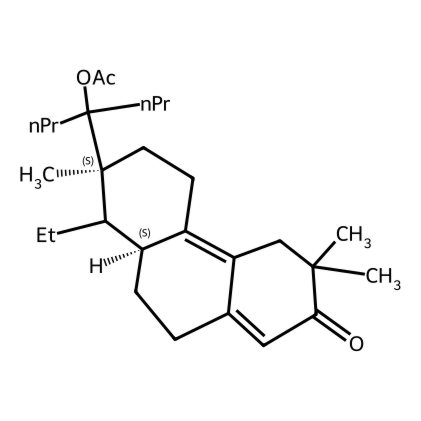 CCCC(CCC)(OC(C)=O)[C@@]1(C)CCC2=C3CC(C)(C)C(=O)C=C3CC[C@H]2C1CC